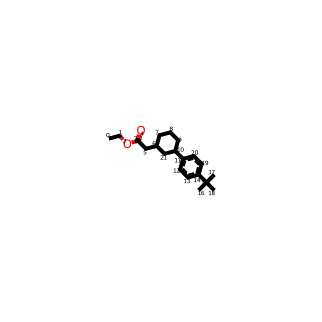 CCOC(=O)CC1CCCC(c2ccc(C(C)(C)C)cc2)C1